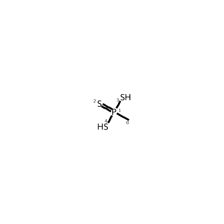 CP(=S)(S)S